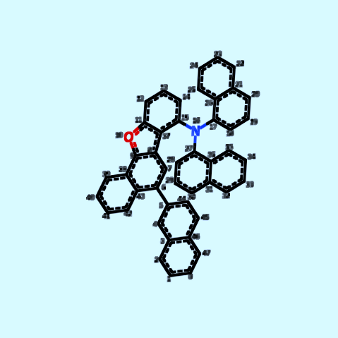 c1ccc2cc(-c3cc4c(oc5cccc(N(c6cccc7ccccc67)c6cccc7ccccc67)c54)c4ccccc34)ccc2c1